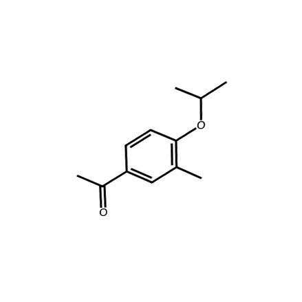 CC(=O)c1ccc(OC(C)C)c(C)c1